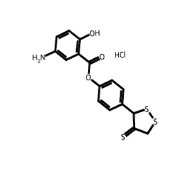 Cl.Nc1ccc(O)c(C(=O)Oc2ccc(C3SSCC3=S)cc2)c1